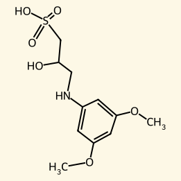 COc1cc(NCC(O)CS(=O)(=O)O)cc(OC)c1